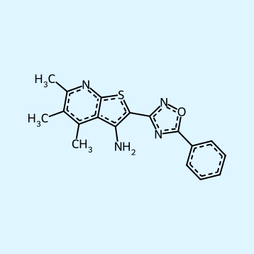 Cc1nc2sc(-c3noc(-c4ccccc4)n3)c(N)c2c(C)c1C